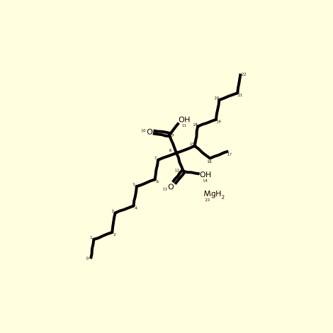 CCCCCCCCC(C(=O)O)(C(=O)O)C(CC)CCCCC.[MgH2]